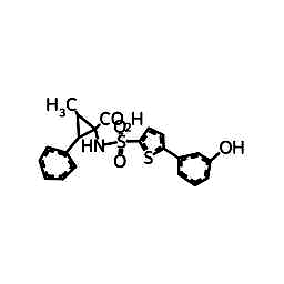 CC1C(c2ccccc2)C1(NS(=O)(=O)c1ccc(-c2cccc(O)c2)s1)C(=O)O